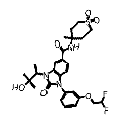 CC(n1c(=O)n(-c2cccc(OCC(F)F)c2)c2ccc(C(=O)NC3(C)CCS(=O)(=O)CC3)cc21)C(C)(C)O